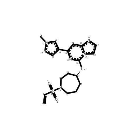 C=CS(=O)(=O)N1CCC[C@@H](Oc2nc(-c3cnn(C)c3)cc3nccn23)CC1